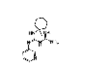 CC1(NC(=Nc2cccnc2)NC(=N)N)CCCCC1